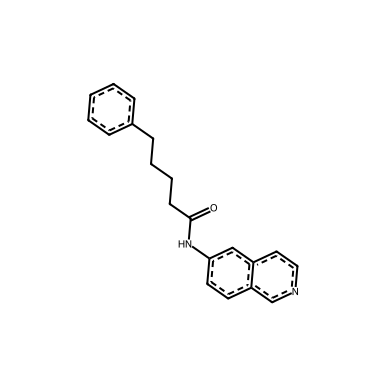 O=C(CCCCc1ccccc1)Nc1ccc2cnccc2c1